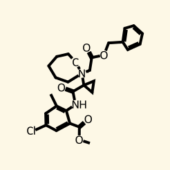 COC(=O)c1cc(Cl)cc(C)c1NC(=O)C1([N+]2(CC(=O)OCc3ccccc3)CCCCCC2)CC1